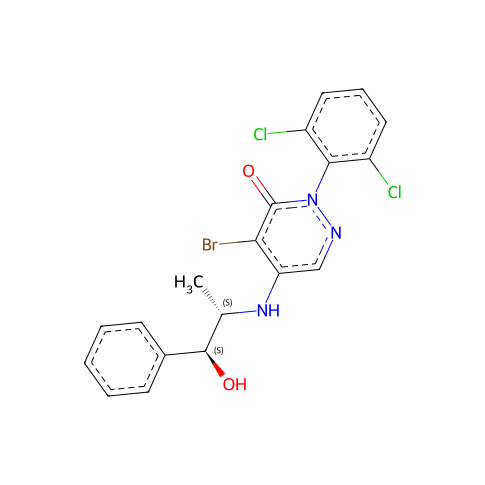 C[C@H](Nc1cnn(-c2c(Cl)cccc2Cl)c(=O)c1Br)[C@@H](O)c1ccccc1